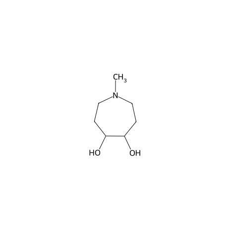 CN1CCC(O)C(O)CC1